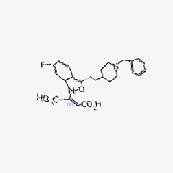 O=C(O)/C=C(/C(=O)O)N1OC(CCC2CCN(Cc3ccccc3)CC2)=C2C=CC(F)=CC21